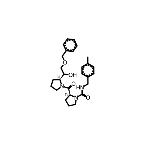 Cc1ccc(CNC(=O)N2CCC[C@H]2C(=O)N2CCC[C@H]2C(O)COCc2ccccc2)cc1